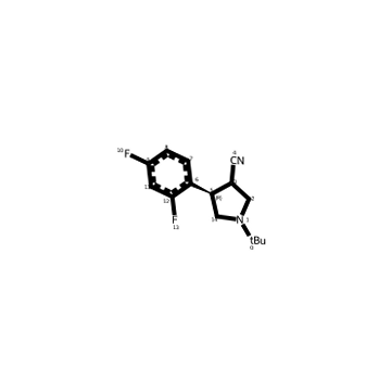 CC(C)(C)N1CC(C#N)[C@H](c2ccc(F)cc2F)C1